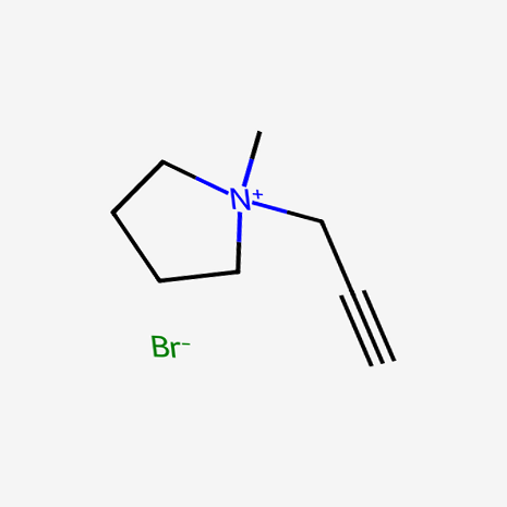 C#CC[N+]1(C)CCCC1.[Br-]